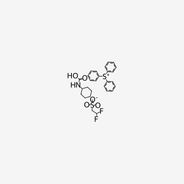 O=C(O)NC1CCCCC1.O=S(=O)([O-])CC(F)F.c1ccc([S+](c2ccccc2)c2ccccc2)cc1